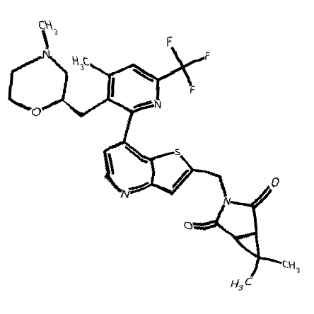 Cc1cc(C(F)(F)F)nc(-c2ccnc3cc(CN4C(=O)C5C(C4=O)C5(C)C)sc23)c1C[C@@H]1CN(C)CCO1